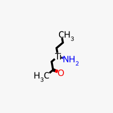 CC[CH2][Ti]([NH2])[CH2]C(C)=O